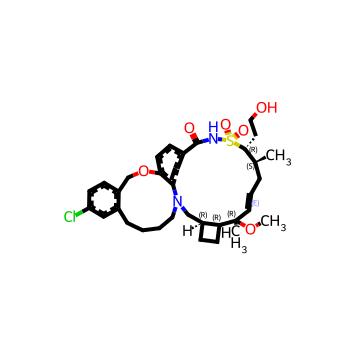 CO[C@@]1(C)/C=C/C[C@H](C)[C@@H](CCO)S(=O)(=O)NC(=O)c2ccc3c(c2)N(CCCCc2cc(Cl)ccc2CO3)C[C@@H]2CC[C@H]21